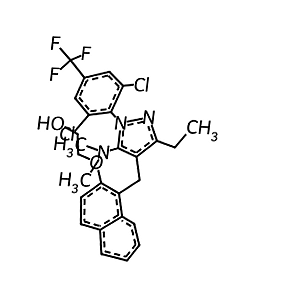 CCc1nn(-c2c(Cl)cc(C(F)(F)F)cc2Cl)c(N(C)C)c1Cc1c(OCCO)ccc2ccccc12